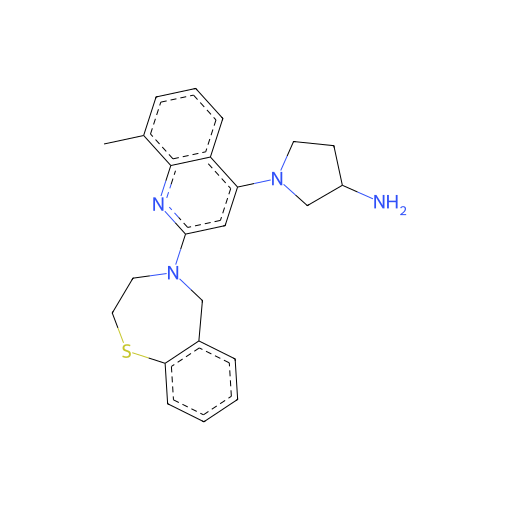 Cc1cccc2c(N3CCC(N)C3)cc(N3CCSc4ccccc4C3)nc12